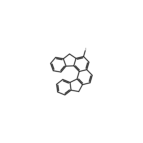 Ic1cc2ccc3c(c2c2c1Cc1ccccc1-2)-c1ccccc1C3